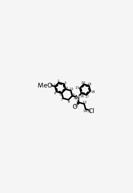 COc1ccc2c(c1)CCC(N(C(=O)CCCl)c1ccccc1)C2